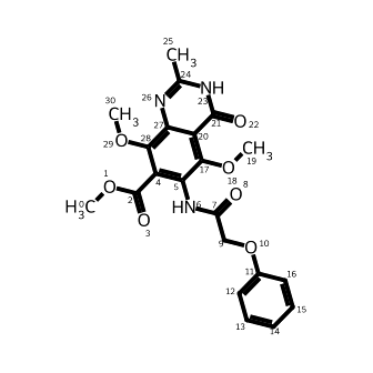 COC(=O)c1c(NC(=O)COc2ccccc2)c(OC)c2c(=O)[nH]c(C)nc2c1OC